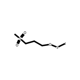 CS(=O)(=O)CCCOSI